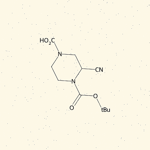 CC(C)(C)OC(=O)N1CCN(C(=O)O)CC1C#N